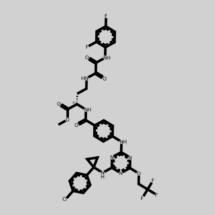 COC(=O)[C@H](CCNC(=O)C(=O)Nc1ccc(F)cc1F)NC(=O)c1ccc(Nc2nc(NC3(c4ccc(Cl)cc4)CC3)nc(OCC(F)(F)F)n2)cc1